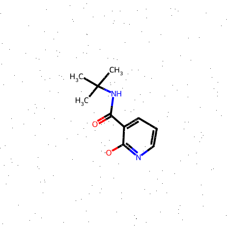 CC(C)(C)NC(=O)c1cccnc1[O]